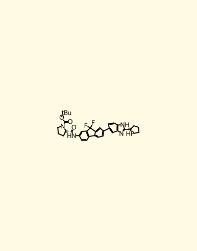 CC(C)(C)OC(=O)N1CCC[C@H]1C(=O)Nc1ccc2c(c1)C(F)(F)c1cc(-c3ccc4[nH]c([C@H]5CCCP5)nc4c3)ccc1-2